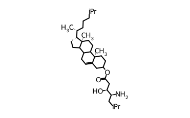 CC(C)CCC[C@@H](C)[C@H]1CCC2C3CC=C4CC(OC(=O)C[C@H](O)[C@@H](N)CC(C)C)CC[C@]4(C)C3CC[C@@]21C